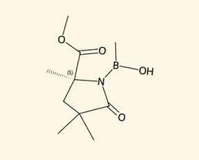 COC(=O)[C@]1(C)CC(C)(C)C(=O)N1B(C)O